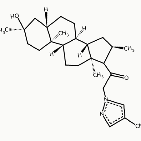 C[C@@H]1C[C@H]2[C@@H]3CC[C@H]4C[C@](C)(O)CC[C@]4(C)[C@H]3CC[C@]2(C)C1C(=O)Cn1cc(C#N)cn1